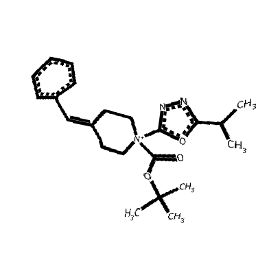 CC(C)c1nnc([N+]2(C(=O)OC(C)(C)C)CCC(=Cc3ccccc3)CC2)o1